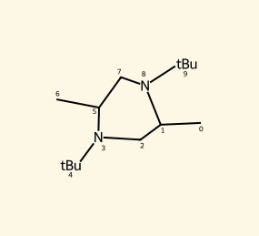 CC1CN(C(C)(C)C)C(C)CN1C(C)(C)C